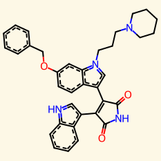 O=C1NC(=O)C(c2cn(CCCN3CCCCC3)c3cc(OCc4ccccc4)ccc23)=C1c1c[nH]c2ccccc12